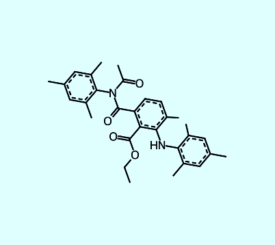 CCOC(=O)c1c(C(=O)N(C(C)=O)c2c(C)cc(C)cc2C)ccc(C)c1Nc1c(C)cc(C)cc1C